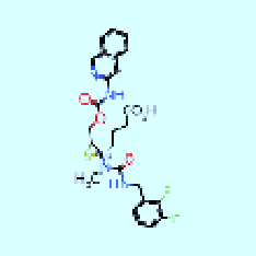 CN(C(=O)NCc1cccc(F)c1F)[C@@]1(CCCC(=O)O)SC1COC(=O)Nc1cc2ccccc2cn1